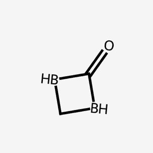 O=C1BCB1